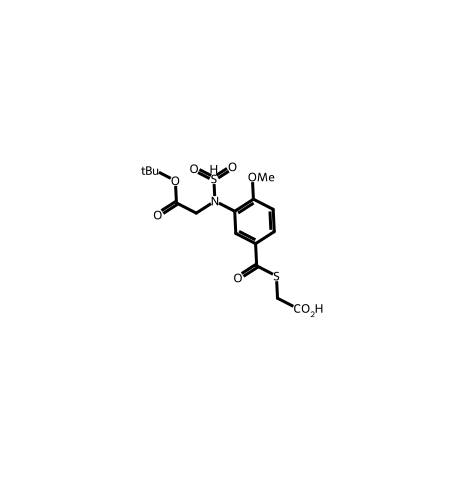 COc1ccc(C(=O)SCC(=O)O)cc1N(CC(=O)OC(C)(C)C)[SH](=O)=O